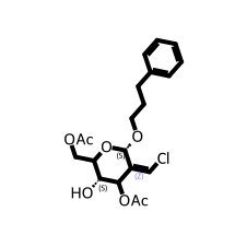 CC(=O)OCC1O[C@H](OCCCc2ccccc2)/C(=C\Cl)C(OC(C)=O)[C@@H]1O